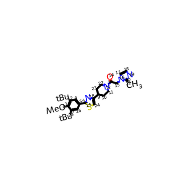 COc1c(C(C)(C)C)cc(-c2nc(C3CCN(C(=O)Cn4ccnc4C)CC3)cs2)cc1C(C)(C)C